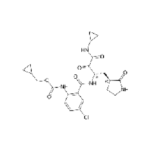 O=C(Nc1ccc(Cl)cc1C(=O)N[C@@H](C[C@@H]1CCNC1=O)C(=O)C(=O)NC1CC1)OCC1CC1